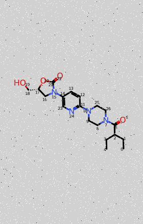 CCC(CC)C(=O)N1CCN(c2ccc(N3C[C@H](CO)OC3=O)cn2)CC1